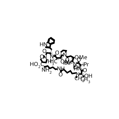 CC[C@H](C)[C@@H]([C@@H](CC(=O)N1CCC[C@H]1[C@H](OC)[C@@H](C)C(=O)N[C@@H](Cc1c[nH]c2ccccc12)C(=O)N1CCCCO1)OC)N(C)C(=O)[C@@H](NC(=O)[C@H](C(C)O)N(C)CCCCCC(=O)NCCCC[C@H](N)C(=O)O)C(C)C